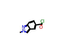 Cn1cc2cc(C(=O)Cl)ccc2n1